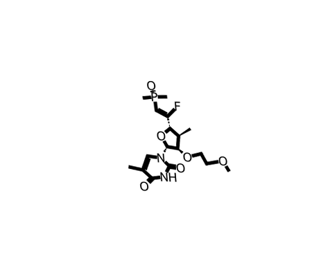 COCCO[C@@H]1[C@H](C)[C@@H](/C(F)=C/P(C)(C)=O)O[C@H]1n1cc(C)c(=O)[nH]c1=O